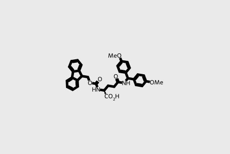 COc1ccc(C(NC(=O)CC[C@H](NC(=O)OCC2c3ccccc3-c3ccccc32)C(=O)O)c2ccc(OC)cc2)cc1